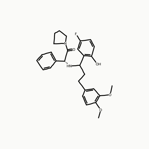 COc1ccc(CCC(N[C@@H](C(=O)N2CCCC2)c2ccccc2)c2cc(F)ccc2O)cc1OC